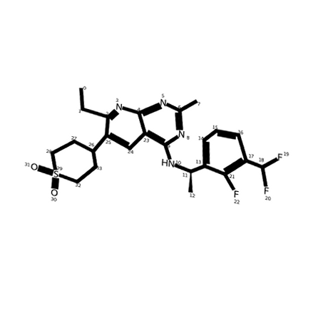 CCc1nc2nc(C)nc(N[C@H](C)c3cccc(C(F)F)c3F)c2cc1C1CCS(=O)(=O)CC1